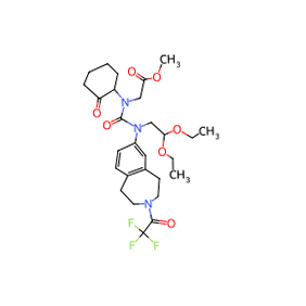 CCOC(CN(C(=O)N(CC(=O)OC)C1CCCCC1=O)c1ccc2c(c1)CCN(C(=O)C(F)(F)F)CC2)OCC